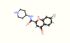 O=C(NC1CCNCC1)c1cc(=O)c2ccc(Cl)cc2o1